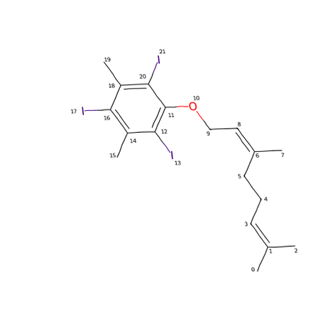 CC(C)=CCCC(C)=CCOc1c(I)c(C)c(I)c(C)c1I